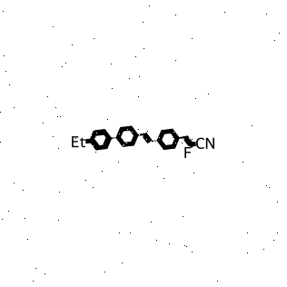 CCc1ccc([C@H]2CC[C@H](C=C[C@H]3CC[C@H](C=C(F)C#N)CC3)CC2)cc1